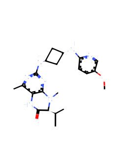 COc1ccc(N[C@H]2C[C@@H](Nc3nc(C)c4c(n3)N(C)[C@@H](C(C)C)C(=O)N4)C2)nc1